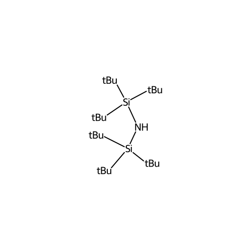 CC(C)(C)[Si](N[Si](C(C)(C)C)(C(C)(C)C)C(C)(C)C)(C(C)(C)C)C(C)(C)C